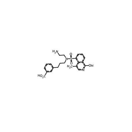 Cc1cnc(O)c2cccc(S(=O)(=O)N(CCN)CCCc3cccc(C(=O)O)c3)c12